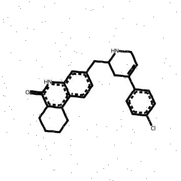 O=c1[nH]c2cc(CC3CC(c4ccc(Cl)cc4)=CCN3)ccc2c2c1CCCC2